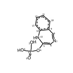 O=P(O)(O)OC1=CN=Cc2ccccc2N1